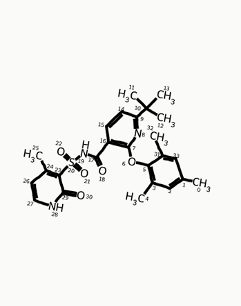 Cc1cc(C)c(Oc2nc(C(C)(C)C)ccc2C(=O)NS(=O)(=O)c2c(C)cc[nH]c2=O)c(C)c1